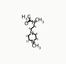 CC(=O)N(C)CCN1CCN(C)CC1